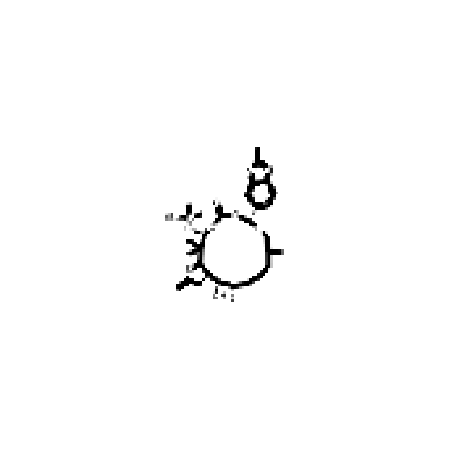 C=CC[C@H]1C(=O)C(C)(C)[C@@H](O[Si](C)(C)C(C)(C)C)CC(=O)O[C@H](c2ccc3sc(C)nc3c2)CC=C(C)CCC[C@H](C)[C@@H]1O